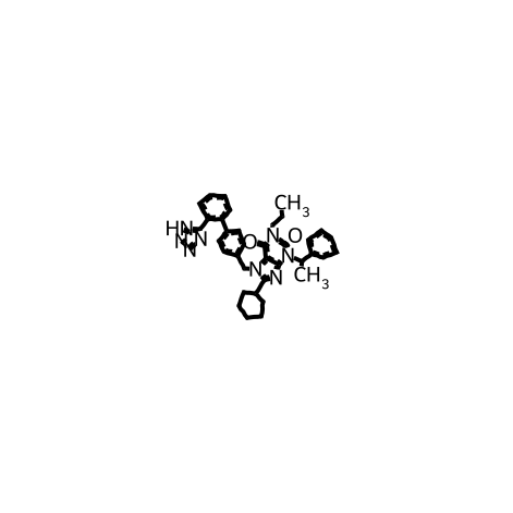 CCCn1c(=O)c2c(nc(C3CCCCC3)n2Cc2ccc(-c3ccccc3-c3nnn[nH]3)cc2)n(C(C)c2ccccc2)c1=O